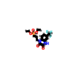 CCOP(=O)(C=CCn1c(=O)c(=O)[nH]c2cc(C(F)(F)F)ccc21)OCC